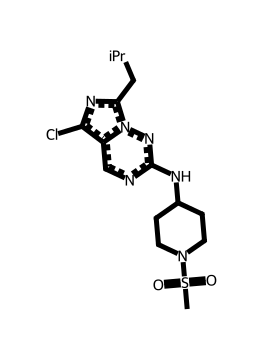 CC(C)Cc1nc(Cl)c2cnc(NC3CCN(S(C)(=O)=O)CC3)nn12